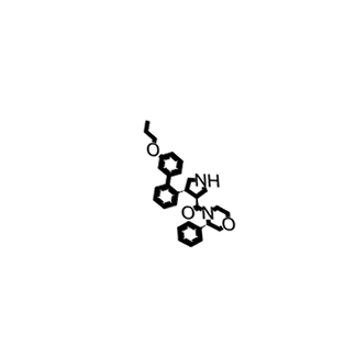 CCCOc1cccc(-c2ccccc2[C@@H]2CNC[C@H]2C(=O)N2CCOC[C@@H]2c2ccccc2)c1